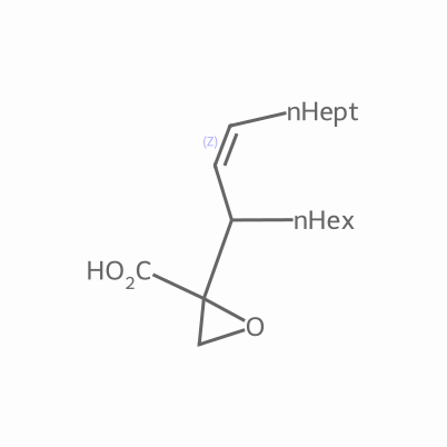 CCCCCCC/C=C\C(CCCCCC)C1(C(=O)O)CO1